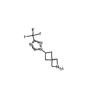 [2H]N1CC2(CC(n3cnc(C(F)(F)F)n3)C2)C1